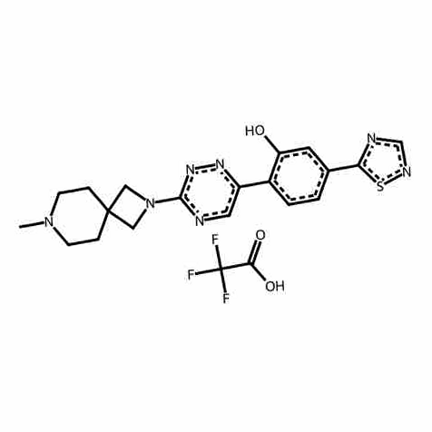 CN1CCC2(CC1)CN(c1ncc(-c3ccc(-c4ncns4)cc3O)nn1)C2.O=C(O)C(F)(F)F